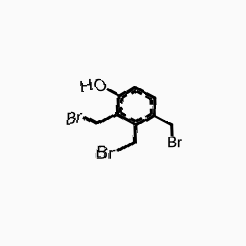 Oc1ccc(CBr)c(CBr)c1CBr